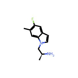 Cc1cc2c(ccn2C[C@H](C)N)cc1F